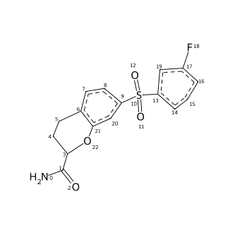 NC(=O)C1CCc2ccc(S(=O)(=O)c3cccc(F)c3)cc2O1